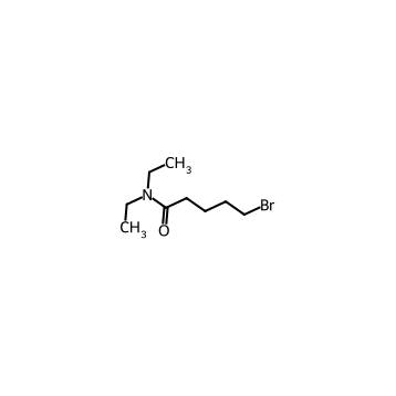 CCN(CC)C(=O)CCCCBr